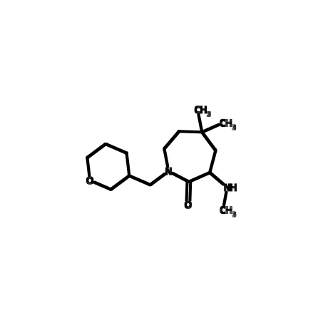 CNC1CC(C)(C)CCN(CC2CCCOC2)C1=O